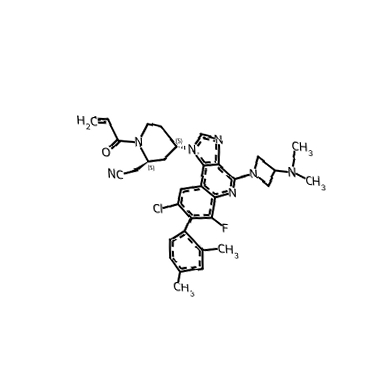 C=CC(=O)N1CC[C@H](n2cnc3c(N4CC(N(C)C)C4)nc4c(F)c(-c5ccc(C)cc5C)c(Cl)cc4c32)C[C@H]1CC#N